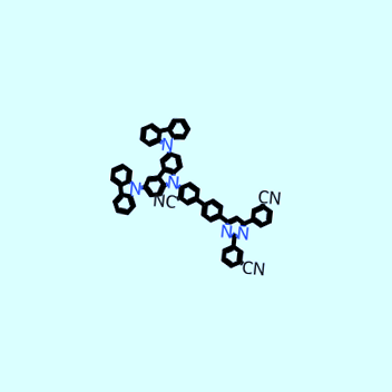 N#Cc1cccc(-c2cc(-c3ccc(-c4ccc(-n5c6ccc(-n7c8ccccc8c8ccccc87)cc6c6cc(-n7c8ccccc8c8ccccc87)ccc65)c(C#N)c4)cc3)nc(-c3cccc(C#N)c3)n2)c1